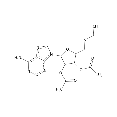 CCSCC1OC(n2cnc3c(N)ncnc32)C(OC(C)=O)C1OC(C)=O